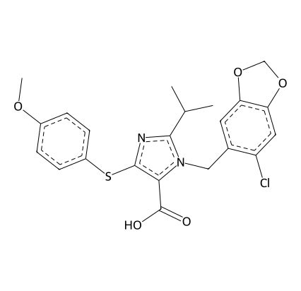 COc1ccc(Sc2nc(C(C)C)n(Cc3cc4c(cc3Cl)OCO4)c2C(=O)O)cc1